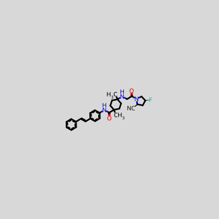 CC1(NCC(=O)N2C[C@@H](F)C[C@H]2C#N)CCC(C)(C(=O)Nc2ccc(/C=C/c3ccccc3)cc2)CC1